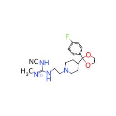 C/N=C(\NC#N)NCCN1CCC(C2(c3ccc(F)cc3)OCCO2)CC1